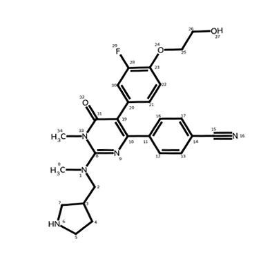 CN(CC1CCNC1)c1nc(-c2ccc(C#N)cc2)c(-c2ccc(OCCO)c(F)c2)c(=O)n1C